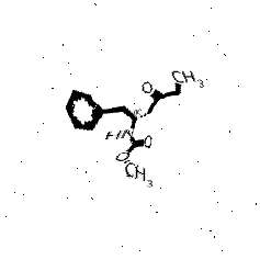 CCC(=O)C[C@@H](Cc1ccccc1)NC(=O)OC